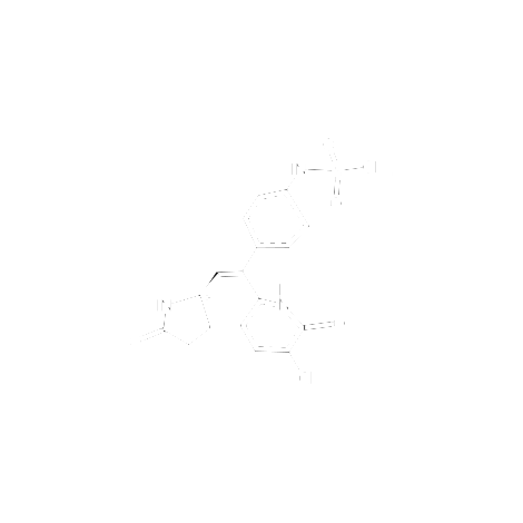 CS(=O)(=O)Nc1ccc(C(=C[C@H]2CCC(=O)N2)c2ccc(Cl)c(=O)[nH]2)cc1